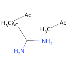 CC(=O)C(N)N.CC(C)=O.CC(C)=O